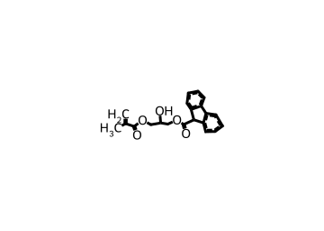 C=C(C)C(=O)OCC(O)COC(=O)C1c2ccccc2-c2ccccc21